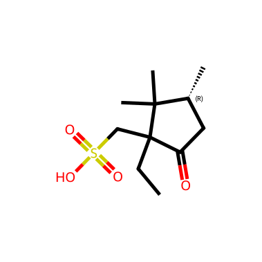 CCC1(CS(=O)(=O)O)C(=O)C[C@@H](C)C1(C)C